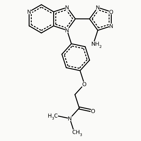 CN(C)C(=O)COc1ccc(-n2c(-c3nonc3N)nc3cnccc32)cc1